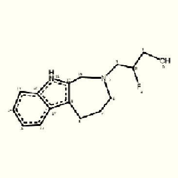 OCC(F)CN1CCCc2c([nH]c3ccccc23)C1